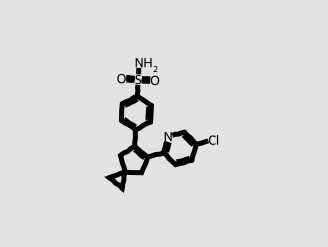 NS(=O)(=O)c1ccc(C2=C(c3ccc(Cl)cn3)CC3(CC3)C2)cc1